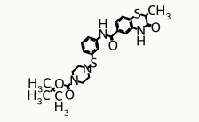 CC1Sc2ccc(C(=O)Nc3cccc(SN4CCN(C(=O)OC(C)(C)C)CC4)c3)cc2NC1=O